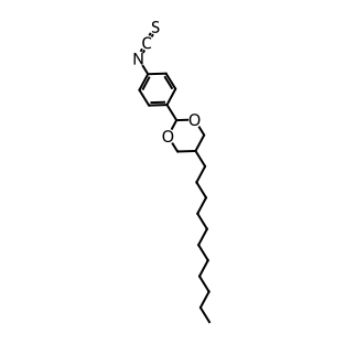 CCCCCCCCCCCC1COC(c2ccc(N=C=S)cc2)OC1